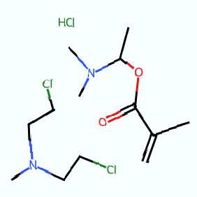 C=C(C)C(=O)OC(C)N(C)C.CN(CCCl)CCCl.Cl